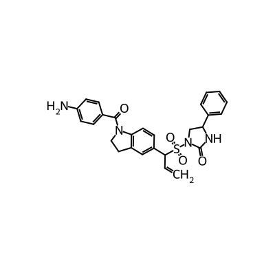 C=CC(c1ccc2c(c1)CCN2C(=O)c1ccc(N)cc1)S(=O)(=O)N1CC(c2ccccc2)NC1=O